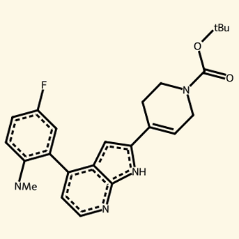 CNc1ccc(F)cc1-c1ccnc2[nH]c(C3=CCN(C(=O)OC(C)(C)C)CC3)cc12